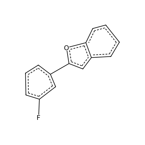 Fc1cccc(-c2cc3ccccc3o2)c1